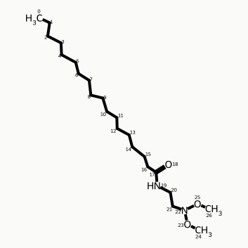 CCCCCCCCCCCCCCCCCC(=O)NCCN(OC)OC